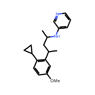 COc1ccc(C2CC2)c(C(C)CC(C)Nc2cccnc2)c1